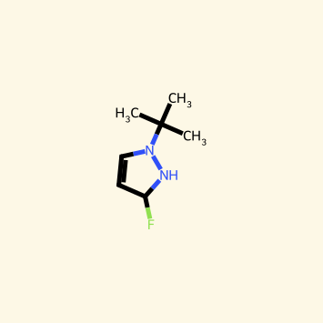 CC(C)(C)N1C=CC(F)N1